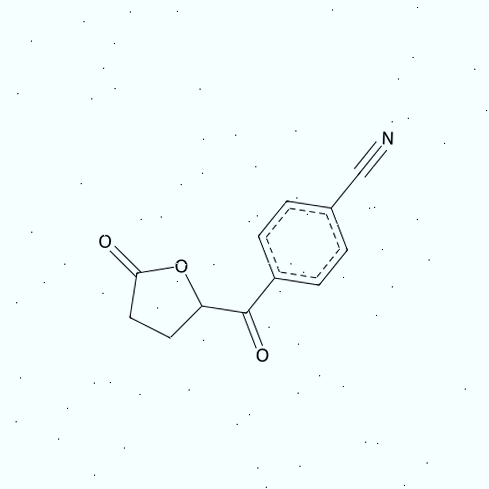 N#Cc1ccc(C(=O)C2CCC(=O)O2)cc1